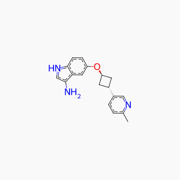 Cc1ccc([C@H]2C[C@H](Oc3ccc4[nH]cc(N)c4c3)C2)cn1